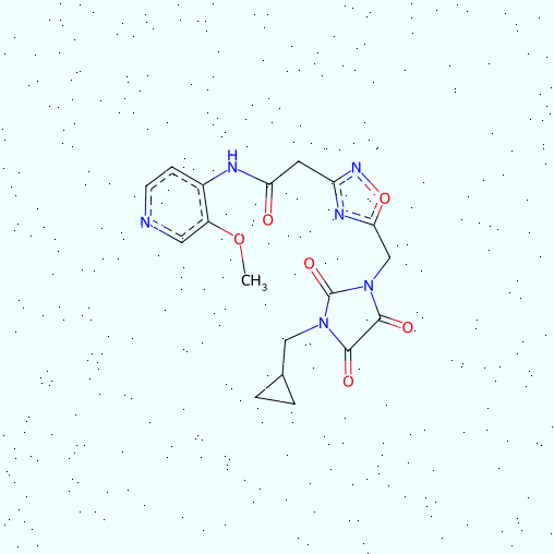 COc1cnccc1NC(=O)Cc1noc(CN2C(=O)C(=O)N(CC3CC3)C2=O)n1